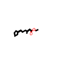 CCOC(=O)/C=C(\C)CCC=C1CCCC1